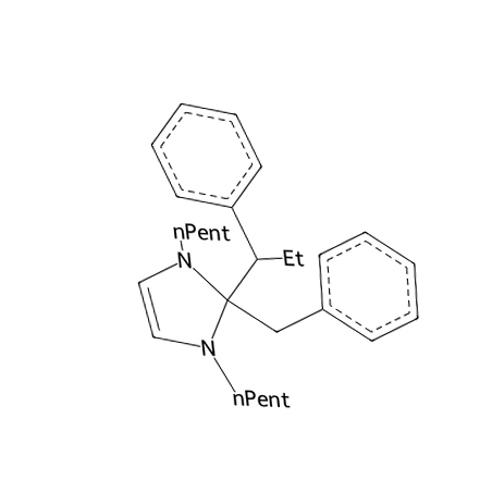 CCCCCN1C=CN(CCCCC)C1(Cc1ccccc1)C(CC)c1ccccc1